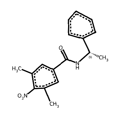 Cc1cc(C(=O)N[C@@H](C)c2ccccc2)cc(C)c1[N+](=O)[O-]